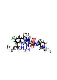 CC(C)c1cc(F)cc(C(C)C)c1Nc1nnc(S(=O)(=O)N2CC3(CCN(C)C3)C2)[nH]1